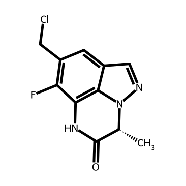 C[C@@H]1C(=O)Nc2c(F)c(CCl)cc3cnn1c23